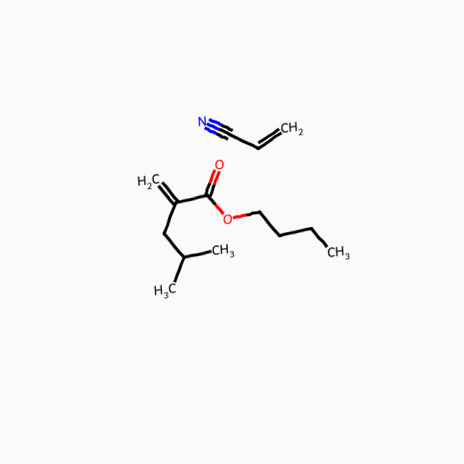 C=C(CC(C)C)C(=O)OCCCC.C=CC#N